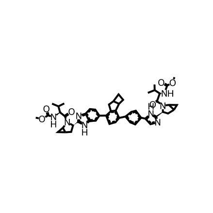 COC(=O)N[C@H](C(=O)N1C2CC2C[C@H]1c1ncc(-c2ccc(-c3ccc(-c4ccc5nc([C@@H]6CC7CC7N6C(=O)[C@@H](NC(=O)OC)C(C)C)[nH]c5c4)c4c3C3CCC3C4)cc2)[nH]1)C(C)C